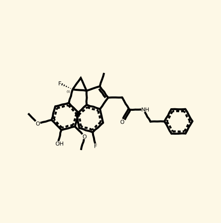 COc1cc([C@@]2(F)CC23C(C)=C(CC(=O)NCc2ccccc2)c2cc(F)ccc23)cc(OC)c1O